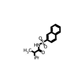 CC(C)C(C)C(=O)NS(=O)(=O)c1ccc2ccccc2c1